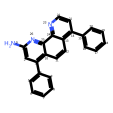 Nc1cc(-c2ccccc2)c2ccc3c(-c4ccccc4)ccnc3c2n1